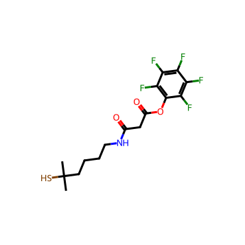 CC(C)(S)CCCCNC(=O)CC(=O)Oc1c(F)c(F)c(F)c(F)c1F